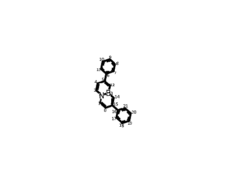 C1=CN2C=CC(c3ccccc3)=CB2C=C1c1ccccc1